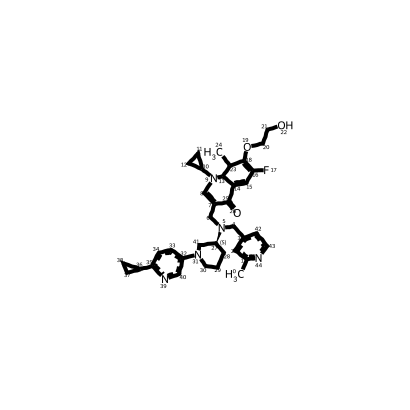 Cc1cc(CN(CC2=CN(C3CC3)C3C(=CC(F)=C(OCCO)C3C)C2=O)[C@H]2CCCN(c3ccc(C4CC4)nc3)C2)ccn1